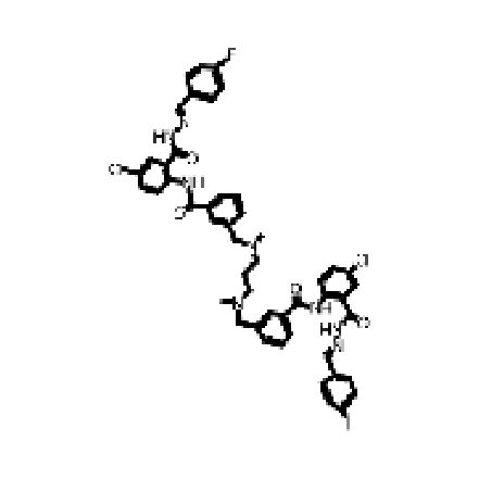 CN(CCCN(C)Cc1cccc(C(=O)Nc2ccc(Cl)cc2C(=O)NN=Cc2ccc(F)cc2)c1)Cc1cccc(C(=O)Nc2ccc(Cl)cc2C(=O)NN=Cc2ccc(F)cc2)c1